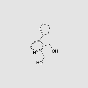 OCc1nccc(C2=CCCC2)c1CO